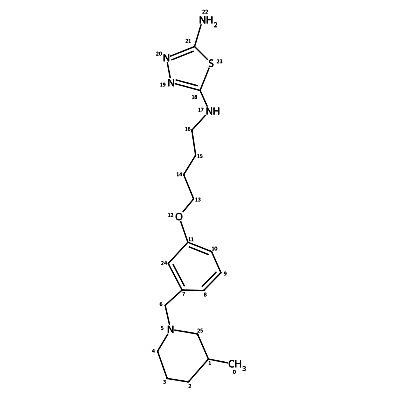 CC1CCCN(Cc2cccc(OCCCCNc3nnc(N)s3)c2)C1